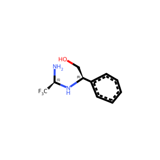 N[C@@H](N[C@@H](CO)c1ccccc1)C(F)(F)F